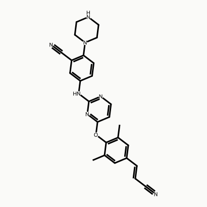 Cc1cc(C=CC#N)cc(C)c1Oc1ccnc(Nc2ccc(N3CCNCC3)c(C#N)c2)n1